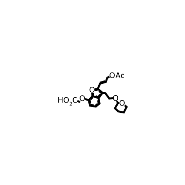 CC(=O)OCC=Cc1oc2c(OCC(=O)O)cccc2c1CCOC1CCCCO1